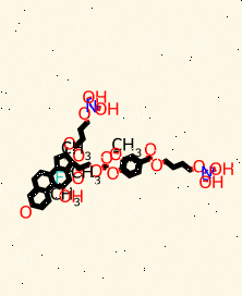 COc1cc(C(=O)OCCCCON(O)O)ccc1OC(=O)OCC(=O)[C@@]1(OC(=O)CCCON(O)O)[C@H](C)CC2C3CCC4=CC(=O)C=C[C@]4(C)[C@@]3(F)C(O)C[C@@]21C